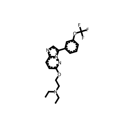 CCN(CC)CCOc1ccc2ncc(-c3cccc(OC(F)(F)F)c3)n2n1